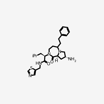 CC(C)C[C@H](C(=O)NCc1cncs1)N1CCC(CCc2ccccc2)N2C[C@H](N)C[C@H]2C1=O